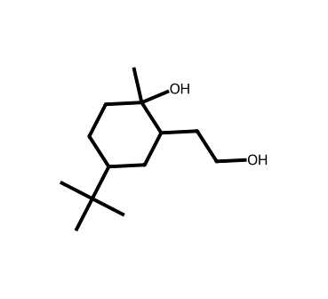 CC(C)(C)C1CCC(C)(O)C(CCO)C1